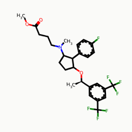 COC(=O)CCCN(C)C1CCC(O[C@H](C)c2cc(C(F)(F)F)cc(C(F)(F)F)c2)C1c1ccc(F)cc1